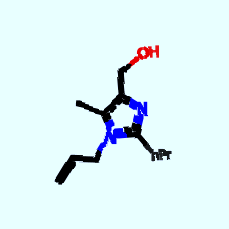 C=CCn1c(CCC)nc(CO)c1C